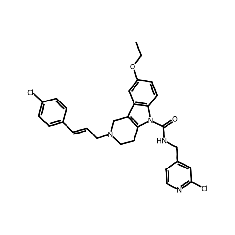 CCOc1ccc2c(c1)c1c(n2C(=O)NCc2ccnc(Cl)c2)CCN(CC=Cc2ccc(Cl)cc2)C1